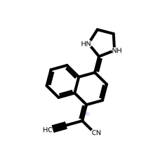 C#C/C(C#N)=c1/ccc(=C2NCCN2)c2ccccc12